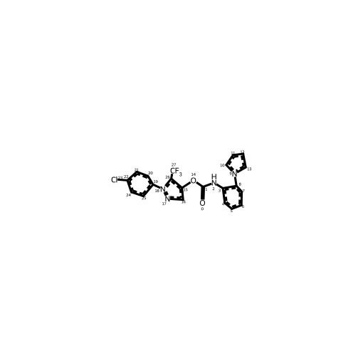 O=C(Nc1ccccc1-n1cccc1)Oc1cnn(-c2ccc(Cl)cc2)c1C(F)(F)F